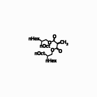 C=C(C(=O)OCC(CCCCCC)CCCCCCCC)C(=O)OCC(CCCCCC)CCCCCCCC